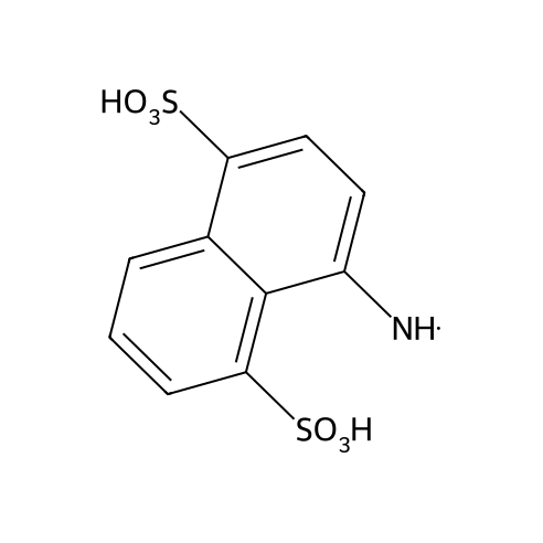 [NH]c1ccc(S(=O)(=O)O)c2cccc(S(=O)(=O)O)c12